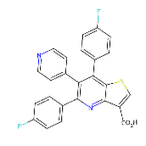 O=C(O)c1csc2c(-c3ccc(F)cc3)c(-c3ccncc3)c(-c3ccc(F)cc3)nc12